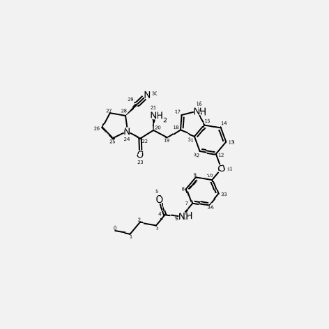 CCCCC(=O)Nc1ccc(Oc2ccc3[nH]cc(C[C@H](N)C(=O)N4CCC[C@H]4C#N)c3c2)cc1